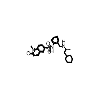 C[C@@H](CC1CCCCC1)NCc1ccccc1NS(=O)(=O)c1ccc2c(ccc(=O)n2C)c1